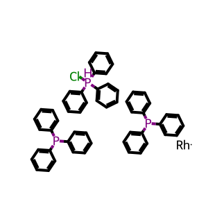 Cl[PH](c1ccccc1)(c1ccccc1)c1ccccc1.[Rh].c1ccc(P(c2ccccc2)c2ccccc2)cc1.c1ccc(P(c2ccccc2)c2ccccc2)cc1